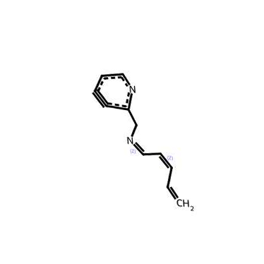 C=C/C=C\C=N/Cc1c#cccn1